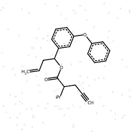 C#CCC(C(=O)OC(CC=C)c1cccc(Oc2ccccc2)c1)C(C)C